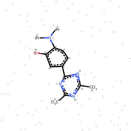 CC(C)N(c1ccc(-c2nc(C(Cl)(Cl)Cl)nc(C(Cl)(Cl)Cl)n2)cc1Br)C(C)C